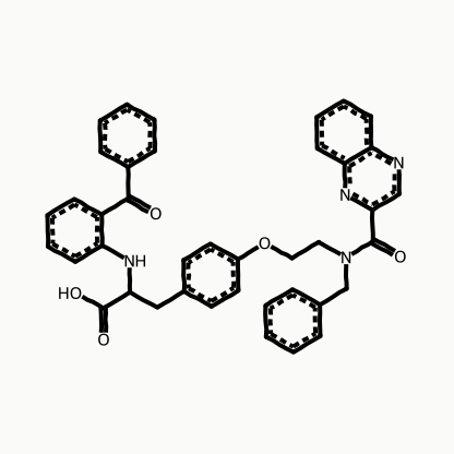 O=C(c1ccccc1)c1ccccc1NC(Cc1ccc(OCCN(Cc2ccccc2)C(=O)c2cnc3ccccc3n2)cc1)C(=O)O